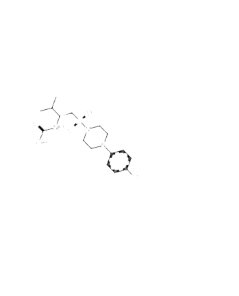 CC(C)[C@@H](CS(=O)(=O)N1CCN(c2ccc(Cl)cc2)CC1)NC(=O)O